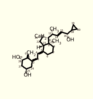 C=C1/C(=C\C=C2/CCC[C@]3(C)[C@@H]([C@H](C)/C=C/[C@@H](O)C4CC4)CC[C@@H]23)C[C@@H](O)C[C@@H]1O.[CaH2]